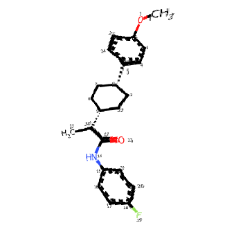 COc1ccc([C@H]2CC[C@@H](C(C)C(=O)Nc3ccc(F)cc3)CC2)cc1